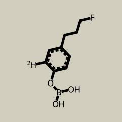 [2H]c1cc(CCCF)ccc1OB(O)O